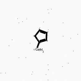 [GeH3][C]1=CC=CC1